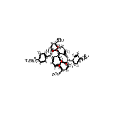 Cc1cccc(P(c2ccc(C(C)(C)C)cc2)c2ccc(C(C)(C)C)cc2)c1-c1c(C)cccc1P(c1ccc(C(C)(C)C)cc1)c1ccc(C(C)(C)C)cc1